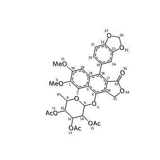 COc1cc2c(OC3OC(C)C(OC(C)=O)C(OC(C)=O)C3OC(C)=O)c3c(c(-c4ccc5c(c4)OCO5)c2cc1OC)C(=O)OC3